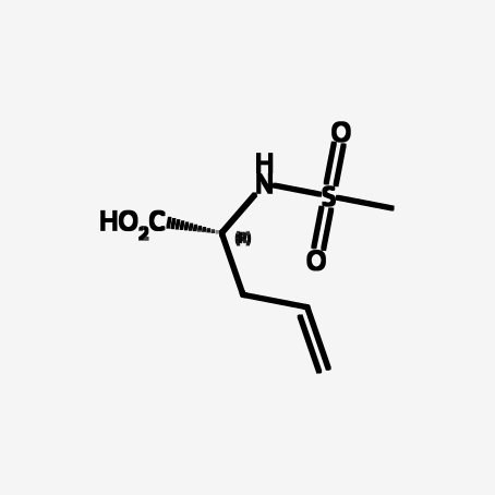 C=CC[C@@H](NS(C)(=O)=O)C(=O)O